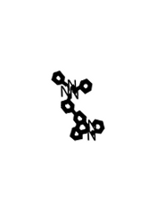 c1ccc(-c2nc(-c3ccccc3)nc(-c3cccc(-c4ccc5c(c4)c4ccccc4c4nc6ccccn6c54)c3)n2)cc1